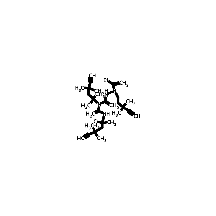 C#CC(C)(C)CCN(NC(=C)N(C(=C)NC(C)(C)CC(C)(C)C#C)C(C)(C)CC(C)(C)C#C)C(=C)CC